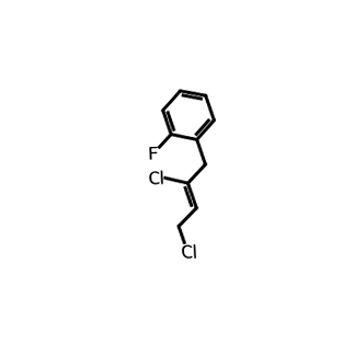 Fc1ccccc1C/C(Cl)=C/CCl